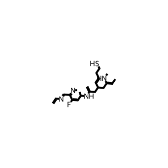 C=C/N=C/C(=N/C)C(/F)=C\C(C)NC(=C)CC(/C=C/CCS)C/C(=C/C)NC